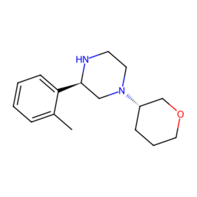 Cc1ccccc1[C@@H]1CN([C@H]2CCCOC2)CCN1